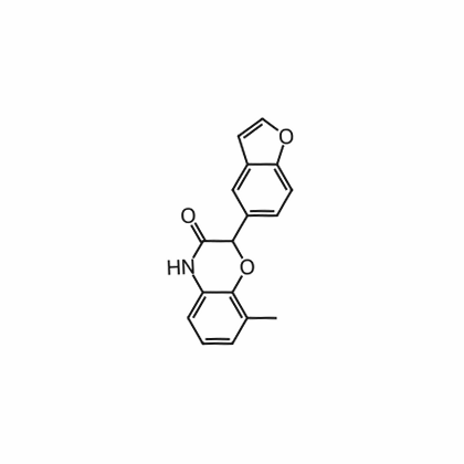 Cc1cccc2c1OC(c1ccc3occc3c1)C(=O)N2